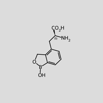 N[C@@H](Cc1cccc2c1COB2O)C(=O)O